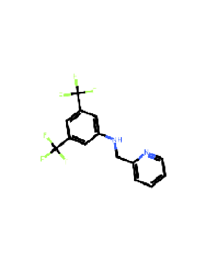 FC(F)(F)c1cc(NCc2ccccn2)cc(C(F)(F)F)c1